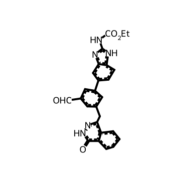 CCOC(=O)Nc1nc2cc(-c3cc(C=O)cc(Cc4n[nH]c(=O)c5ccccc45)c3)ccc2[nH]1